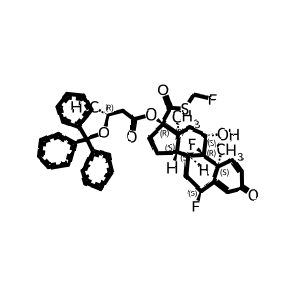 C[C@H](CC(=O)O[C@]1(C(=O)SCF)CC[C@H]2[C@@H]3C[C@H](F)C4=CC(=O)C=C[C@]4(C)[C@@]3(F)[C@@H](O)C[C@@]21C)OC(c1ccccc1)(c1ccccc1)c1ccccc1